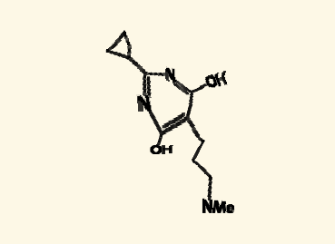 CNCCCc1c(O)nc(C2CC2)nc1O